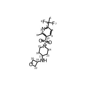 Cc1nc(C(C)(F)F)ccc1S(=O)(=O)N1CCC(NC2COC2)CC1